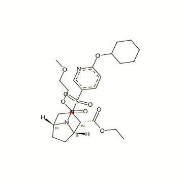 CCOC(=O)[C@@H]1[C@@H]2CC[C@H](CN1S(=O)(=O)c1ccc(OC3CCCCC3)nc1)N2C(=O)OCCOC